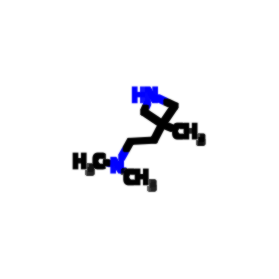 CN(C)CCC1(C)CNC1